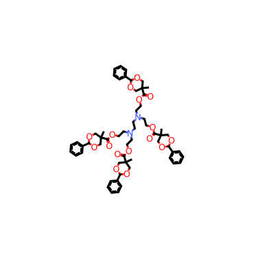 CC1(C(=O)OCCN(CCOC(=O)C2(C)COC(c3ccccc3)OC2)CCN(CCOC(=O)C2(C)COC(c3ccccc3)OC2)CCOC(=O)C2(C)COC(c3ccccc3)OC2)COC(c2ccccc2)OC1